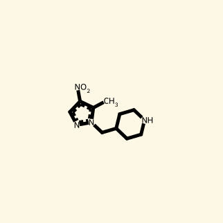 Cc1c([N+](=O)[O-])cnn1CC1CCNCC1